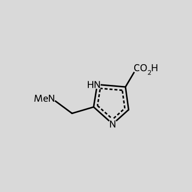 CNCc1ncc(C(=O)O)[nH]1